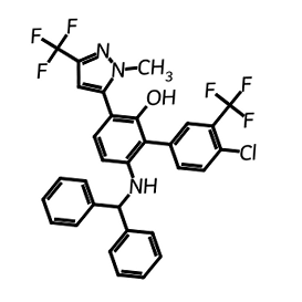 Cn1nc(C(F)(F)F)cc1-c1ccc(NC(c2ccccc2)c2ccccc2)c(-c2ccc(Cl)c(C(F)(F)F)c2)c1O